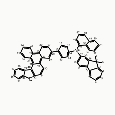 CC1(C)c2ccccc2-c2ccc(N(c3ccc(-c4ccc5c6ccccc6c6c(ccc7oc8ccccc8c76)c5c4)cc3)c3cccc4ccccc34)cc21